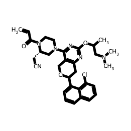 C=CC(=O)N1CCN(c2nc(OC(C)CN(C)C)nc3c2COC(c2cccc4cccc(Cl)c24)C3)C[C@@H]1CC#N